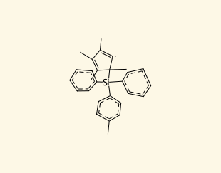 CC1=[C]C(C)([Si](c2ccccc2)(c2ccccc2)c2ccc(C)cc2)C(C)=C1C